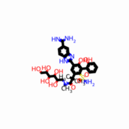 CN(CC(O)C(O)C(O)C(O)CO)C(=O)C(C)(C)c1cc(-c2nc3cc(C(=N)N)ccc3[nH]2)c(O)c(-c2ccccc2O)c1S(N)(=O)=O